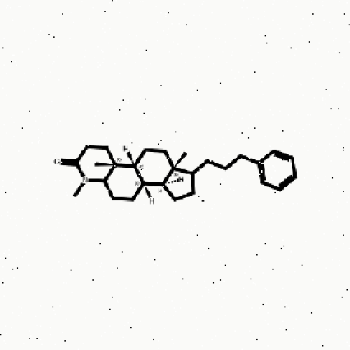 CN1C(=O)CC[C@@]2(C)C1CC[C@@H]1[C@H]2CC[C@]2(C)C(CCCc3ccccc3)CC[C@@H]12